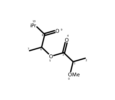 COC(C)C(=O)OC(C)C(=O)C(C)C